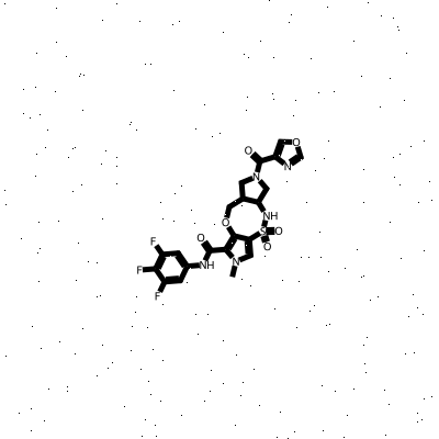 Cn1cc2c(c1C(=O)Nc1cc(F)c(F)c(F)c1)OCC1CN(C(=O)c3cocn3)CC1NS2(=O)=O